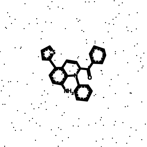 Nc1ccc(-c2cccs2)c2c1N(c1ccccc1)C(C(=O)c1ccccc1)C=C2